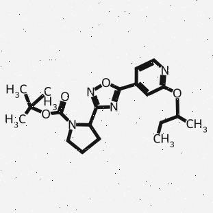 CCC(C)Oc1cc(-c2nc(C3CCCN3C(=O)OC(C)(C)C)no2)ccn1